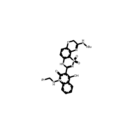 CCCCNC1=Nc2c(ccc3c2S(=O)(=O)N=C(c2c(O)c4ccccc4n(NCC(C)C)c2=O)N3)OC1